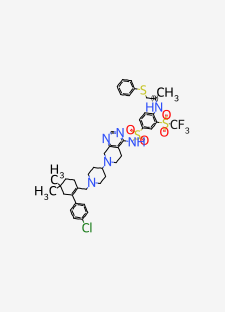 C[C@H](CSc1ccccc1)Nc1ccc(S(=O)(=O)Nc2ncnc3c2CCN(C2CCN(CC4=C(c5ccc(Cl)cc5)CC(C)(C)CC4)CC2)C3)cc1S(=O)(=O)C(F)(F)F